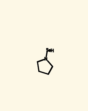 [SeH]N1CCCC1